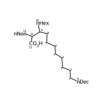 CCCCCCCCCCCCCCCCCCC(CCCCCC)C(CCCCCCCCC)C(=O)O